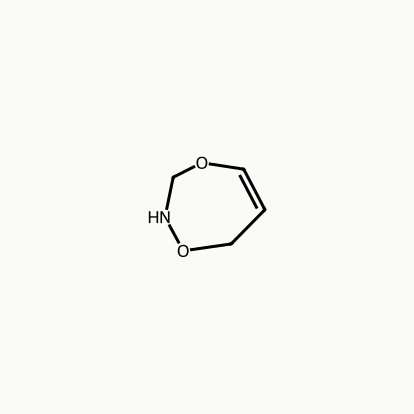 C1=COCNOC1